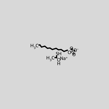 CC(O)S.CCCCCCCCCCCCOS(=O)(=O)[O-].[Na+]